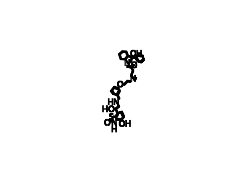 CN(CCCOc1cccc(CNC[C@H](O)c2ccc(O)c3[nH]c(=O)sc23)c1)CCc1cnc(C(O)(c2ccccc2)C2CCCCC2)o1